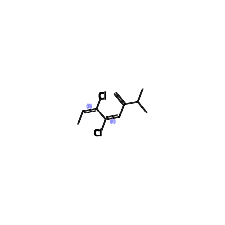 C=C(/C=C(Cl)\C(Cl)=C/C)C(C)C